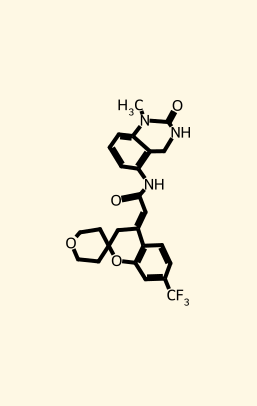 CN1C(=O)NCc2c(NC(=O)/C=C3\CC4(CCOCC4)Oc4cc(C(F)(F)F)ccc43)cccc21